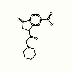 C=C1CN(C(=O)CN2CCCCC2)c2cc([N+](=O)[O-])ccc21